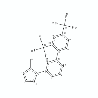 Cc1ccsc1-c1ccnc(-c2ccc(C(F)(F)F)cc2C(F)(F)F)c1